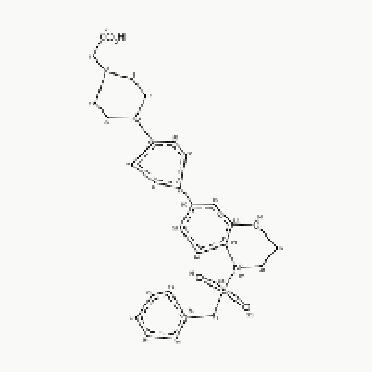 O=C(O)CC1CCC(c2ccc(-c3ccc4c(c3)OCCN4S(=O)(=O)Cc3ccccc3)cc2)CC1